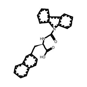 O=C(O)[C@@H](Cc1ccc2ccccc2c1)NC(=O)n1c2ccccc2c2ccccc21